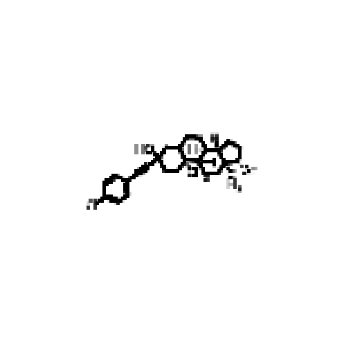 CC(=O)[C@H]1CC[C@H]2[C@@H]3CCC4CC(O)(C#Cc5ccc(Cl)cc5)CC[C@]4(C)[C@H]3CC[C@]12C